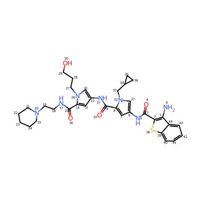 Nc1c(C(=O)Nc2cc(C(=O)Nc3cc(C(=O)NCCN4CCCCC4)n(CCCO)c3)n(CC3CC3)c2)sc2ccccc12